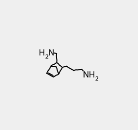 NCCCC1C2C=CC(C2)C1CN